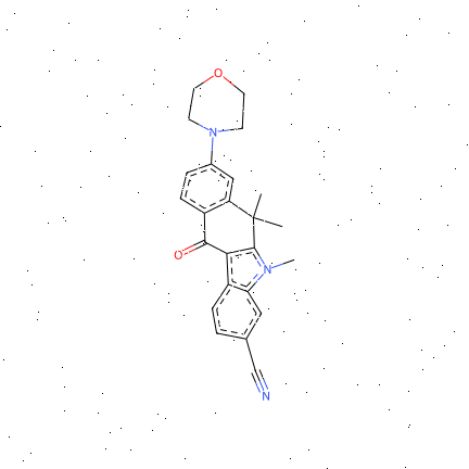 Cn1c2c(c3ccc(C#N)cc31)C(=O)c1ccc(N3CCOCC3)cc1C2(C)C